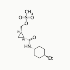 CC[C@H]1CC[C@H](NC(=O)[C@@H]2C[C@H]2COS(C)(=O)=O)CC1